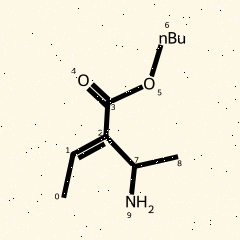 C/C=C(/C(=O)OCCCC)C(C)N